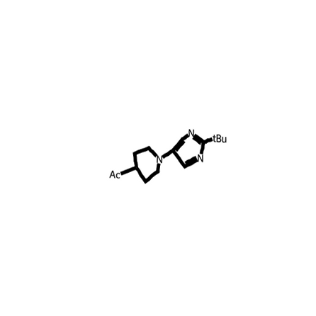 CC(=O)C1CCN(c2cnc(C(C)(C)C)nc2)CC1